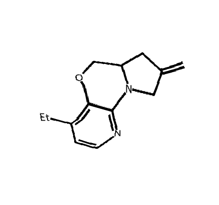 C=C1CC2COc3c(CC)ccnc3N2C1